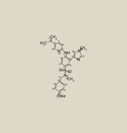 C=C(C)c1ccc(Nc2ccc(S(=O)(=O)N(C)Cc3ccc(OC)cc3)cc2-c2cn(C)cn2)nc1